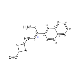 NC/C(=C\NC1CC(C=O)C1)c1cnc2ccccc2n1